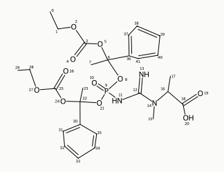 CCOC(=O)OC(C)(OP(=O)(NC(=N)N(C)C(C)C(=O)O)OC(C)(OC(=O)OCC)c1ccccc1)c1ccccc1